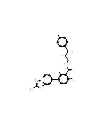 Nc1nc2cc(-c3ccc(Cl)c(C(=O)NC[C@@H](F)[C@@H](O)c4ccc(F)cc4)c3F)ccn2n1